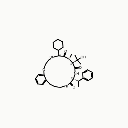 CC(c1ccccc1)[C@H]1NC(=O)[C@H](C(C)(C)O)N(C)C(=O)[C@H](C2CCCCC2)NCCOc2ccccc2CCCNC1=O